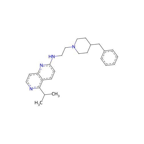 CC(C)c1nccc2nc(NCCN3CCC(Cc4ccccc4)CC3)ccc12